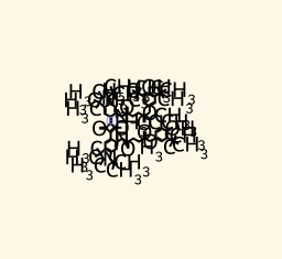 CC(C)N1c2cc(NC(=O)CCC(=O)Oc3cc(C(C)(C)C)c(O)c(C(C)(C)C)c3)c(C3=C([O-])/C(=c4/cc5c(cc4NC(=O)CCC(=O)Oc4cc(C(C)(C)C)c(O)c(C(C)(C)C)c4)=[N+](C(C)C)C(C)C5(C)C)C3=O)cc2C(C)(C)C1C